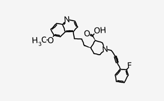 COc1ccc2nccc(CCC[C@@H]3CCN(CC#Cc4ccccc4F)C[C@@H]3C(=O)O)c2c1